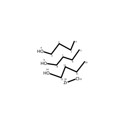 CCCCO.CCCCO.CCCCO.[Cl][Zr]